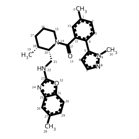 Cc1ccc(-c2ccnn2C)c(C(=O)N2CCC[C@@H](C)[C@H]2CNc2nc3cc(C)ccc3o2)c1